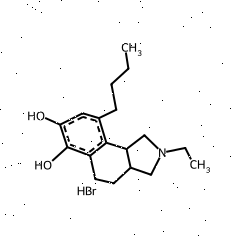 Br.CCCCc1cc(O)c(O)c2c1C1CN(CC)CC1CC2